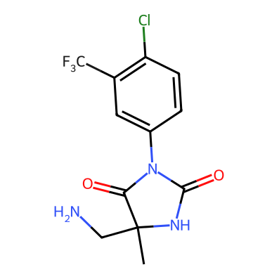 CC1(CN)NC(=O)N(c2ccc(Cl)c(C(F)(F)F)c2)C1=O